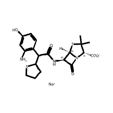 CC1(C)S[C@@H]2[C@H](NC(=O)C(c3ccc(O)cc3N)C3CCCS3)C(=O)N2[C@H]1C(=O)[O-].[Na+]